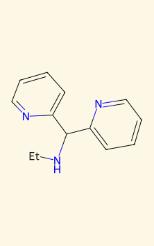 [CH2]CNC(c1ccccn1)c1ccccn1